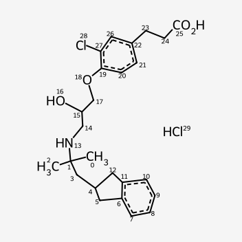 CC(C)(CC1Cc2ccccc2C1)NCC(O)COc1ccc(CCC(=O)O)cc1Cl.Cl